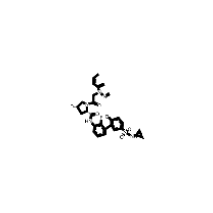 C=NN(CC(=O)N1C[C@H](F)C[C@H]1C(=O)Nc1cccc(-c2cc(S(=O)(=O)NC3CC3)ccc2Cl)c1F)C(=C)/C=C\C